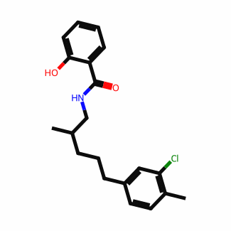 Cc1ccc(CCCC(C)CNC(=O)c2ccccc2O)cc1Cl